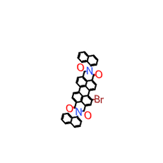 O=C1c2ccc3c4ccc5c6c(cc(Br)c(c7ccc(c2c37)C(=O)N1c1cccc2ccccc12)c64)C(=O)N(c1cccc2ccccc12)C5=O